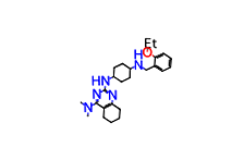 CCOc1ccccc1CNC1CCC(Nc2nc3c(c(N(C)C)n2)CCCC3)CC1